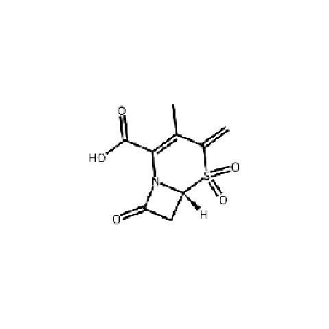 C=C1C(C)=C(C(=O)O)N2C(=O)C[C@H]2S1(=O)=O